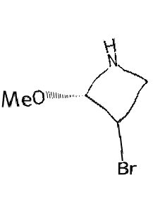 CO[C@@H]1NCC1Br